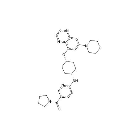 O=C(c1cnc(N[C@H]2CC[C@@H](Oc3cc(N4CCOCC4)cc4nccnc34)CC2)nc1)N1CCCC1